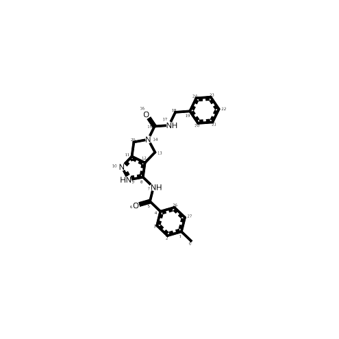 Cc1ccc(C(=O)Nc2[nH]nc3c2CN(C(=O)NCc2ccccc2)C3)cc1